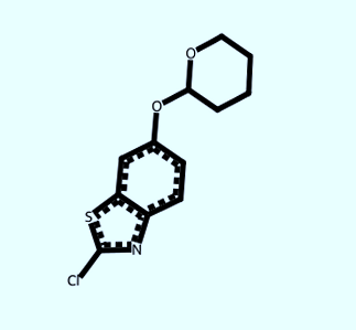 Clc1nc2ccc(OC3CCCCO3)cc2s1